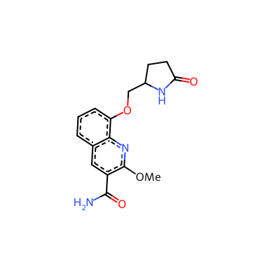 COc1nc2c(OCC3CCC(=O)N3)cccc2cc1C(N)=O